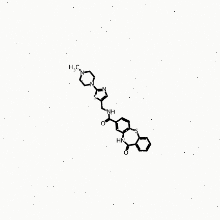 CN1CCN(c2ncc(CNC(=O)c3ccc4c(c3)NC(=O)c3ccccc3S4)s2)CC1